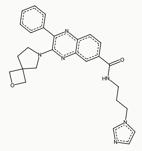 O=C(NCCCn1ccnc1)c1ccc2nc(-c3ccccc3)c(N3CCC4(COC4)C3)nc2c1